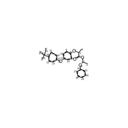 CC(OC(=O)C(C)Oc1ccc(Oc2ccc(C(F)(F)F)cc2)cc1)Oc1ccccc1